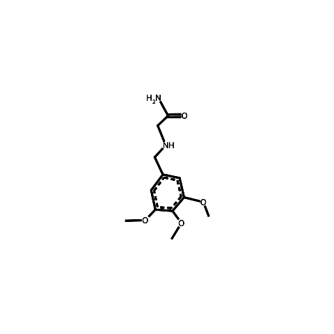 COc1cc(CNCC(N)=O)cc(OC)c1OC